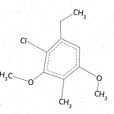 CCc1cc(OC)c(C)c(OC)c1Cl